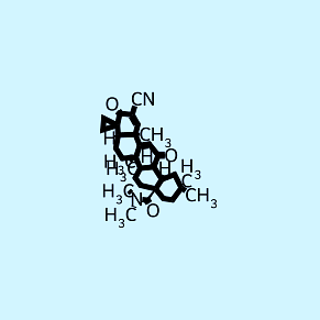 CN(C)C(=O)[C@]12CCC(C)(C)C[C@H]1[C@H]1C(=O)C=C3[C@@]4(C)C=C(C#N)C(=O)C5(CC5)[C@@H]4CC[C@@]3(C)[C@]1(C)CC2